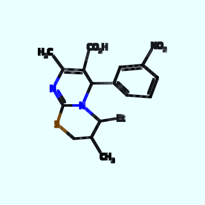 CCC1C(C)CSC2=NC(C)=C(C(=O)O)C(c3cccc([N+](=O)[O-])c3)N21